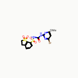 COc1cc(Br)nc(NC(=O)NS(=O)(=O)c2cccc3c2S(=O)(=O)CC3)n1